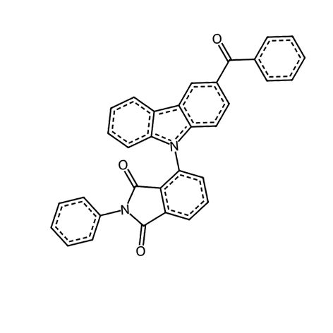 O=C(c1ccccc1)c1ccc2c(c1)c1ccccc1n2-c1cccc2c1C(=O)N(c1ccccc1)C2=O